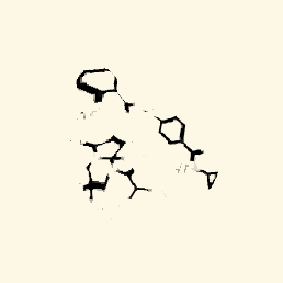 CC1(C)CN2C(=O)CCC2(C)N(C(=O)C(Cl)Cl)C1.COc1ccccc1C(=O)NS(=O)(=O)c1ccc(C(=O)NC2CC2)cc1